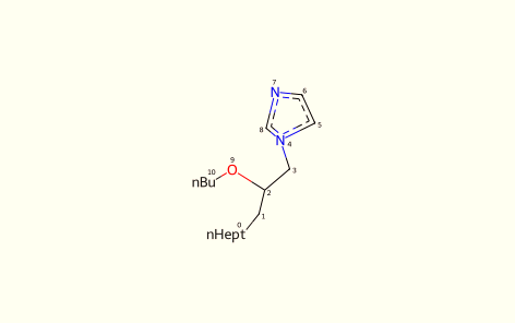 CCCCCCCCC(Cn1ccnc1)OCCCC